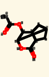 CC(C)(C)C(=O)OC1C2CC3CC2C(=O)OC31